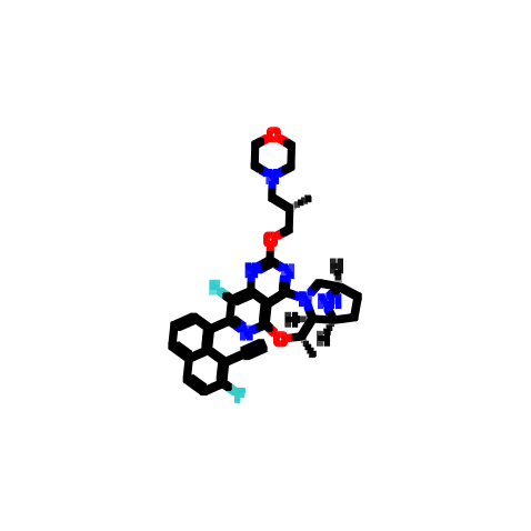 C#Cc1c(F)ccc2cccc(-c3nc4c5c(nc(OC[C@@H](C)CN6CCOCC6)nc5c3F)N3C[C@H]5CC[C@H](N5)[C@H]3[C@H](C)O4)c12